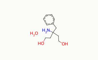 NC(CCO)(CCO)Cc1ccccc1.O